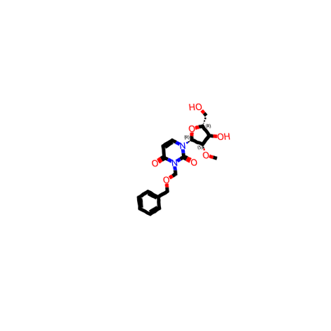 CO[C@H]1C(O)[C@@H](CO)O[C@H]1n1ccc(=O)n(COCc2ccccc2)c1=O